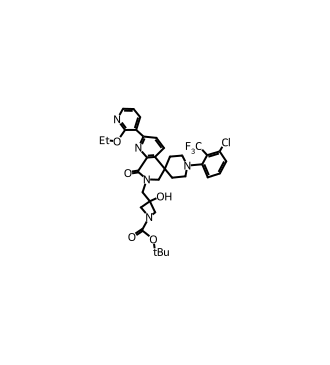 CCOc1ncccc1-c1ccc2c(n1)C(=O)N(CC1(O)CN(C(=O)OC(C)(C)C)C1)CC21CCN(c2cccc(Cl)c2C(F)(F)F)CC1